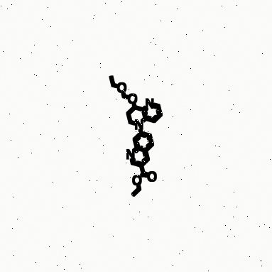 CCOCOC1CCN(c2ccc3cc(C(=O)OCC)cnc3c2)c2cccnc21